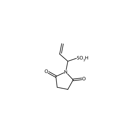 C=CC(N1C(=O)CCC1=O)S(=O)(=O)O